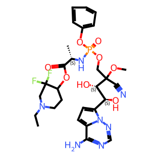 CCN1CCC(OC(=O)[C@H](C)NP(=O)(OCC(C#N)(OC)[C@@H](O)[C@@H](O)c2ccc3c(N)ncnn23)Oc2ccccc2)C(F)(F)C1